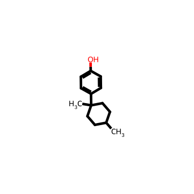 CC1CCC(C)(c2ccc(O)cc2)CC1